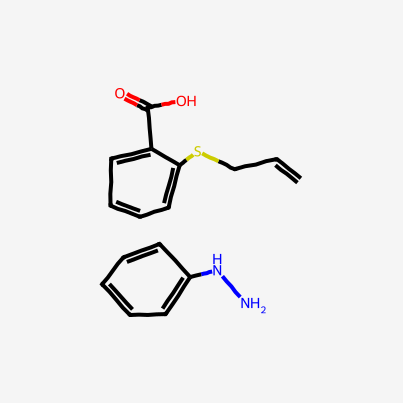 C=CCSc1ccccc1C(=O)O.NNc1ccccc1